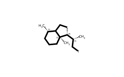 C[C@H](CI)[C@H]1CCC2[C@@H](C)CCC[C@@]21C